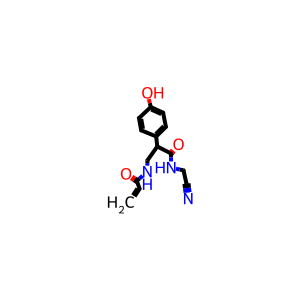 C=CC(=O)NCC(C(=O)NCC#N)c1ccc(O)cc1